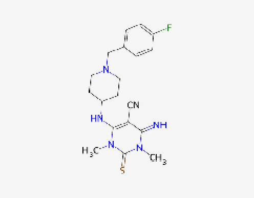 Cn1c(NC2CCN(Cc3ccc(F)cc3)CC2)c(C#N)c(=N)n(C)c1=S